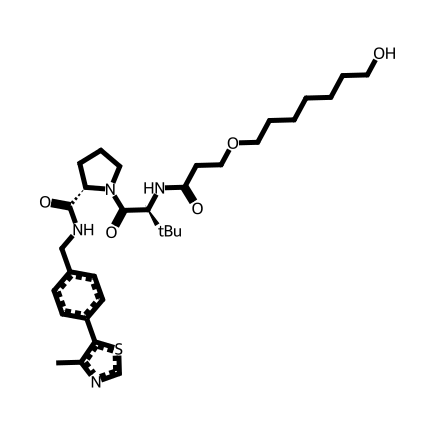 Cc1ncsc1-c1ccc(CNC(=O)[C@@H]2CCCN2C(=O)[C@@H](NC(=O)CCOCCCCCCCO)C(C)(C)C)cc1